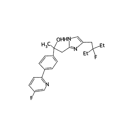 CCC(F)(CC)Cc1c[nH]c(CC(C)(O)c2ccc(-c3ccc(F)cn3)cc2)n1